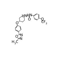 Cc1nnc(-c2ccc(OC3CCC(NC(=O)Nc4ccc(OC(F)(F)F)cc4)CC3)cc2)o1